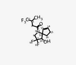 CC(CC(=O)N1CC(F)(F)C(O)C12C=CCC2)C(F)(F)F